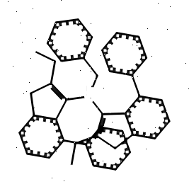 CCC1=C([SiH](Cc2ccccc2)C2=C(CC)[CH]c3cccc(-c4ccccc4)c32)c2c(cccc2-c2ccccc2)[CH]1